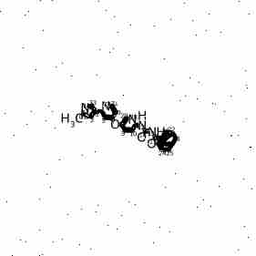 Cn1cc(-c2cc(Oc3ccc(NC(=O)NC(=O)C45CC6CC(CC(C6)C4)C5)nc3)ccn2)cn1